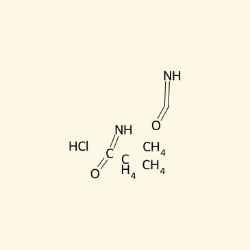 C.C.C.Cl.N=C=O.N=C=O